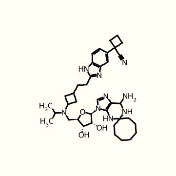 CC(C)N(C[C@H]1O[C@@H](n2cnc3c2NC2(CCCCCCC2)NC3N)[C@H](O)[C@@H]1O)C1CC(CCc2nc3cc(C4(C#N)CCC4)ccc3[nH]2)C1